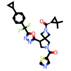 CC1(C)C[C@@H]1C(=O)N1CC2(CN(C(=O)c3cncs3)CC2c2nnc(C(F)(F)c3ccc(C4CC4)cc3)o2)C1